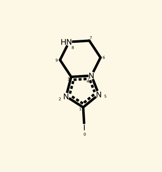 Ic1nc2n(n1)CCNC2